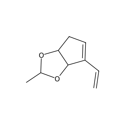 C=CC1=CCC2OC(C)OC12